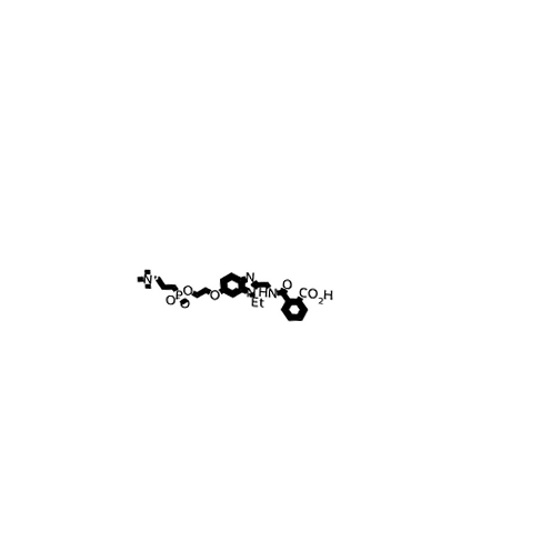 CCn1c(CNC(=O)c2ccccc2C(=O)O)nc2ccc(OCCOP(=O)([O-])CCC[N+](C)(C)C)cc21